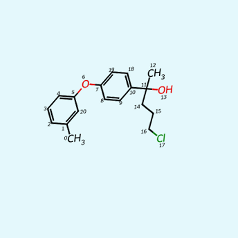 Cc1cccc(Oc2ccc(C(C)(O)CCCCl)cc2)c1